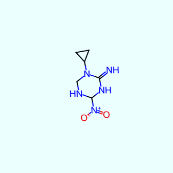 N=C1NC([N+](=O)[O-])NCN1C1CC1